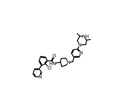 CC1CN(c2ccc(CN3CCC(NC(=O)c4cccc(-c5cccnc5)c4Cl)CC3)cn2)CC(C)N1